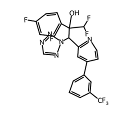 OC(c1ccc(F)cc1F)(C(F)F)C(c1cc(-c2cccc(C(F)(F)F)c2)ccn1)n1ncnn1